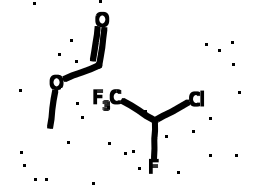 COC=O.FC(Cl)C(F)(F)F